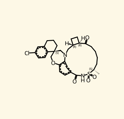 C[C@H]1CCCCC(=O)[C@@H]2CC[C@H]2CN2C[C@@]3(CCCc4cc(Cl)ccc43)COc3ccc(cc32)C(=O)NS1(=O)=O